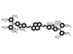 Cc1cc(C)cc(N(c2cc(C)cc(C)c2)c2ccc3c(c2)C(C)(C)c2cc(/C=C/c4ccc5ccc6c(/C=C/c7ccc8c(c7)C(C)(C)c7cc(N(c9cc(C)cc(C)c9)c9cc(C)cc(C)c9)ccc7-8)ccc7ccc4c5c76)ccc2-3)c1